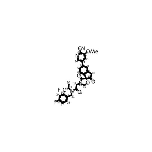 COc1cc(-c2ccc3c(c2)CC(=O)[C@]32OCN(CC(=O)N(Cc3ccc(F)cc3)[C@@H](C)C(F)(F)F)C2=O)cnc1C#N